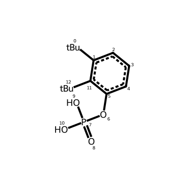 CC(C)(C)c1cccc(OP(=O)(O)O)c1C(C)(C)C